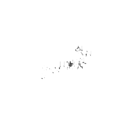 CN(C)C(=O)C[C@H](CSc1nccs1)Nc1ccc(S(=O)(=O)NC(=O)c2ccc(N3CCN(Cc4ccccc4-c4ccc(Cl)cc4)CC3)cc2)cc1[N+](=O)[O-]